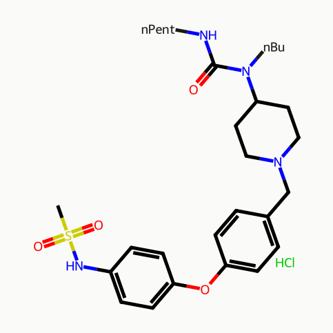 CCCCCNC(=O)N(CCCC)C1CCN(Cc2ccc(Oc3ccc(NS(C)(=O)=O)cc3)cc2)CC1.Cl